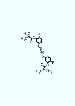 CN(C)C(=O)Oc1cc(SSSSSc2ccc(F)c(OC(=O)N(C)C)c2)ccc1F